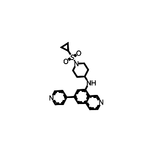 O=S(=O)(C1CC1)N1CCC(Nc2cc(-c3ccncc3)cc3ccncc23)CC1